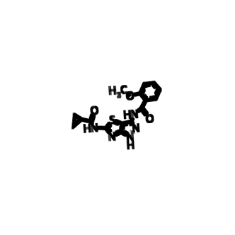 COc1ccccc1C(=O)Nc1n[nH]c2nc(NC(=O)C3CC3)sc12